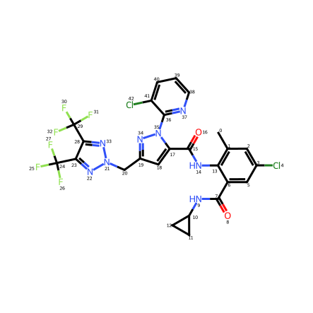 Cc1cc(Cl)cc(C(=O)NC2CC2)c1NC(=O)c1cc(Cn2nc(C(F)(F)F)c(C(F)(F)F)n2)nn1-c1ncccc1Cl